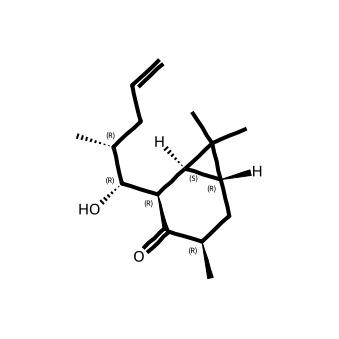 C=CC[C@@H](C)[C@@H](O)[C@@H]1C(=O)[C@H](C)C[C@@H]2[C@@H]1C2(C)C